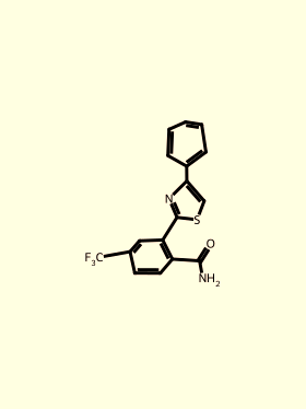 NC(=O)c1ccc(C(F)(F)F)cc1-c1nc(-c2ccccc2)cs1